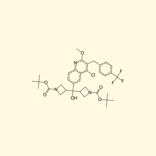 COc1nc2ccc(C(O)(C3CN(C(=O)OC(C)(C)C)C3)C3CN(C(=O)OC(C)(C)C)C3)cc2c(Cl)c1Cc1ccc(C(F)(F)F)cc1